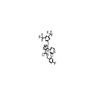 O=C(NCc1ccc(F)cc1Cl)c1nnn(Cc2cc(C(F)(F)F)cc(C(F)(F)F)c2)c1-c1ccncc1